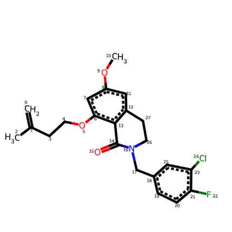 C=C(C)CCOc1cc(OC)cc2c1C(=O)N(Cc1ccc(F)c(Cl)c1)CC2